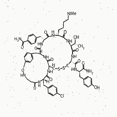 CNCCCC[C@@H]1NC(=O)[C@@H](Cc2ccc(C(N)=O)cc2)NC(=O)[C@@H]2Cc3ccc(cc3)ONCCC(=O)N[C@@H](Cc3ccc(Cl)cc3)C(=O)N[C@H](CSSC[C@@H](C(=O)N[C@H](Cc3ccc(O)cc3)C(N)=O)NC(=O)[C@H]([C@@H](C)O)NC1=O)C(=O)N2